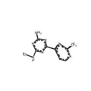 CCNc1nc(N)nc(-c2ccnc(C(F)(F)F)n2)n1